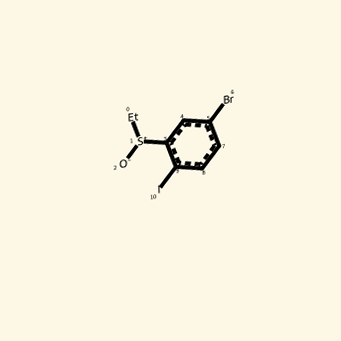 CC[S+]([O-])c1cc(Br)ccc1I